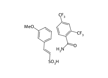 COc1cccc(/C=C/S(=O)(=O)O)c1.NC(=O)c1ccc(C(F)(F)F)cc1C(F)(F)F